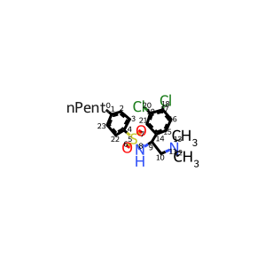 CCCCCc1ccc(S(=O)(=O)NC(CN(C)C)c2ccc(Cl)c(Cl)c2)cc1